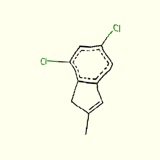 CC1=Cc2cc(Cl)cc(Cl)c2C1